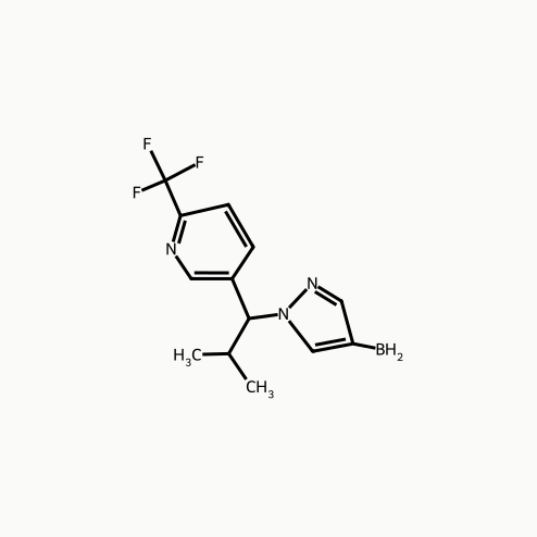 Bc1cnn(C(c2ccc(C(F)(F)F)nc2)C(C)C)c1